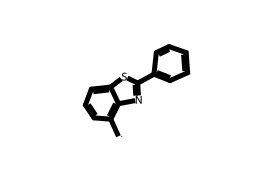 [CH2]c1cccc2sc(-c3ccccc3)nc12